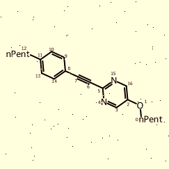 CCCCCOc1cnc(C#Cc2ccc(CCCCC)cc2)nc1